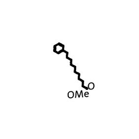 COC(=O)CCCCCCCCCCc1ccccc1